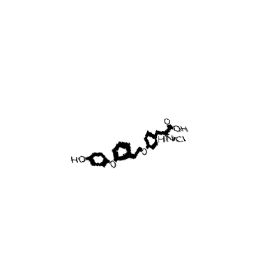 O=C(O)C(Cc1ccc(OCCc2cccc(Oc3ccc(O)cc3)c2)cc1)NCl